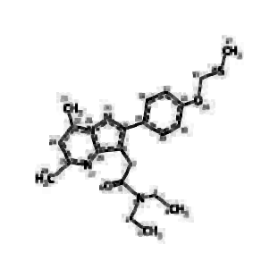 CCN(CC)C(=O)Cc1c(-c2ccc(OCSC)cc2)nn2c(C)cc(C)nc12